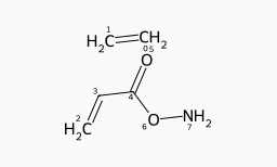 C=C.C=CC(=O)ON